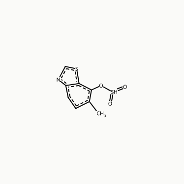 Cc1ccc2ncsc2c1O[SH](=O)=O